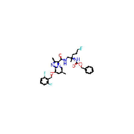 Cc1cc(OCc2c(F)cccc2F)c2nc(C)c(C(=O)NCC(C)(CCCF)NC(=O)OCc3ccccc3)n2c1